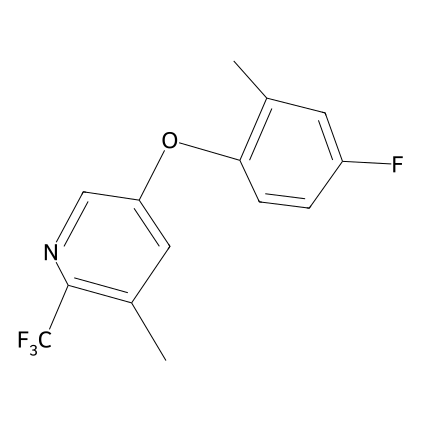 Cc1cc(F)ccc1Oc1cnc(C(F)(F)F)c(C)c1